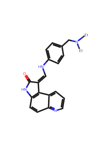 CCN(CC)Cc1ccc(N/C=C2\C(=O)Nc3ccc4ncccc4c32)cc1